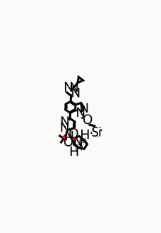 CN(c1ccc(-c2ccc(-c3cnn(C4CC4)n3)c3cnn(COCC[Si](C)(C)C)c23)nn1)C1C[C@H]2CC[C@@H](C1)N2C(=O)OC(C)(C)C